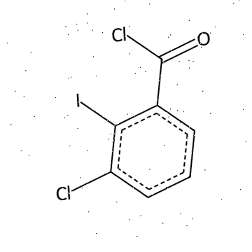 O=C(Cl)c1cccc(Cl)c1I